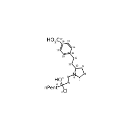 CCCCCC(O)(Cl)CCN1CCCC1CCc1ccc(C(=O)O)cc1